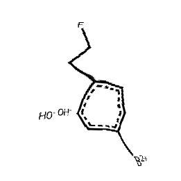 [B+2]c1ccc(CCF)cc1.[OH-].[OH-]